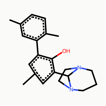 Cc1ccc(C)c(-c2cc(C)cc(C3N4CCCN3CC4)c2O)c1